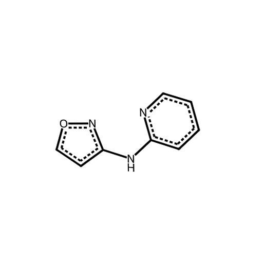 c1ccc(Nc2ccon2)nc1